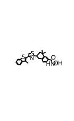 Cc1c(C2CSC(C3Cc4ccc(C(=O)NO)cc4C(C)(C)C3)=N2)sc2ccccc12